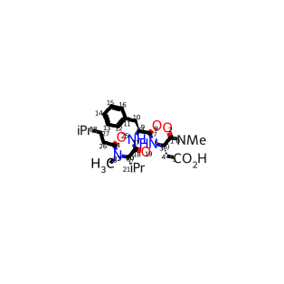 CNC(=O)[C@H](CC(=O)O)NC(=O)[C@H](Cc1ccccc1)NC(=O)[C@H](C(C)C)N(C)C(=O)CCC(C)C